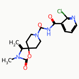 C=C1N(C)C(=O)OC12CCN(C(=O)NC(=O)c1cccnc1Cl)CC2